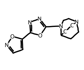 c1cc(-c2nnc(N3CCN4CCC3CC4)o2)on1